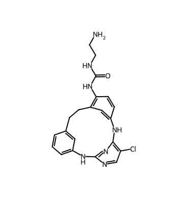 NCCNC(=O)Nc1ccc2cc1CCc1cccc(c1)Nc1ncc(Cl)c(n1)N2